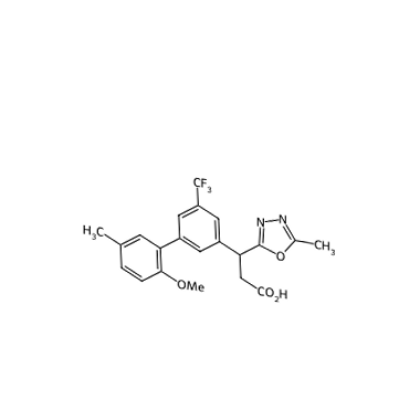 COc1ccc(C)cc1-c1cc(C(CC(=O)O)c2nnc(C)o2)cc(C(F)(F)F)c1